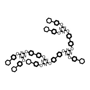 c1cc(-c2ccc(Oc3nc(Oc4ccc(-c5ccc(Oc6nc(Oc7ccc(C8CCCCC8)cc7)nc(Oc7ccc(C8CCCCC8)cc7)n6)cc5)cc4)nc(Oc4ccc(C5CCCCC5)cc4)n3)cc2)ccc1Oc1nc(Oc2ccc(-c3ccc(Oc4nc(Oc5ccc(C6CCCCC6)cc5)nc(Oc5ccc(C6CCCCC6)cc5)n4)cc3)cc2)nc(Oc2ccc(C3CCCCC3)cc2)n1